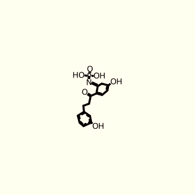 O=C(CCc1cccc(O)c1)C1=CC=C(O)CC1=NP(=O)(O)O